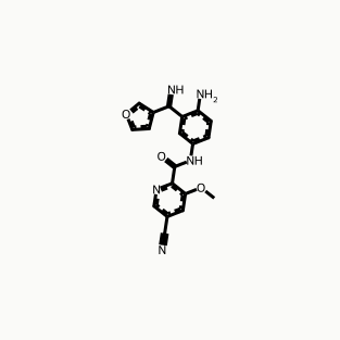 COc1cc(C#N)cnc1C(=O)Nc1ccc(N)c(C(=N)c2ccoc2)c1